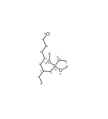 CCC(CCCCCCl)C[Si](OC)(OC)OC